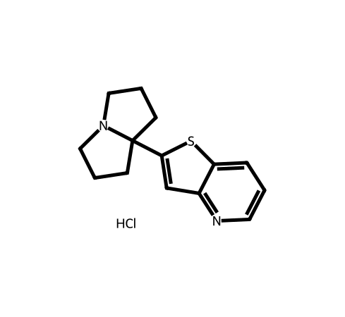 Cl.c1cnc2cc(C34CCCN3CCC4)sc2c1